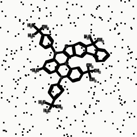 Cc1cc2c3c(c1)N(c1ccc(C(C)(C)C)cc1)c1oc4cc5c(cc4c1B3c1cc(C(C)(C)C)ccc1N2c1ccc(C(C)(C)C)cc1)-c1ccccc1C5(C)C